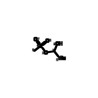 CC(C)(C)C(O)OS(C)(=O)=O